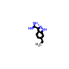 C=Cc1ccc2c(C(=N)N)n[nH]c2c1